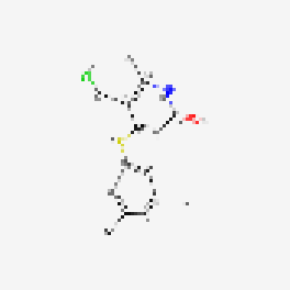 Cc1cc(C)cc(Sc2cc(=O)[nH]c(C)c2CCl)c1